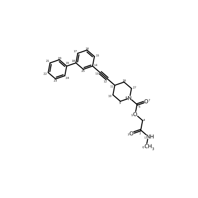 CNC(=O)COC(=O)N1CCC(C#Cc2cccc(-c3ccccc3)c2)CC1